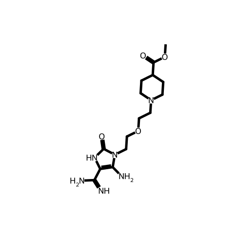 COC(=O)C1CCN(CCOCCn2c(N)c(C(=N)N)[nH]c2=O)CC1